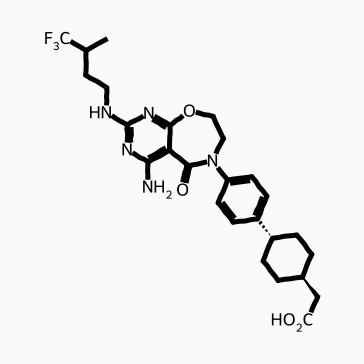 CC(CCNc1nc(N)c2c(n1)OCCN(c1ccc([C@H]3CC[C@H](CC(=O)O)CC3)cc1)C2=O)C(F)(F)F